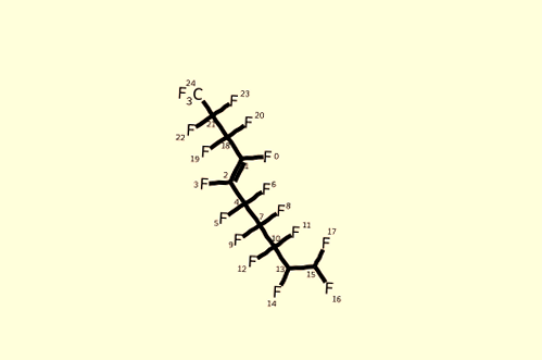 FC(=C(F)C(F)(F)C(F)(F)C(F)(F)C(F)C(F)F)C(F)(F)C(F)(F)C(F)(F)F